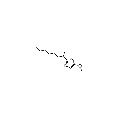 CCCCCCC(C)c1ncc(OC)s1